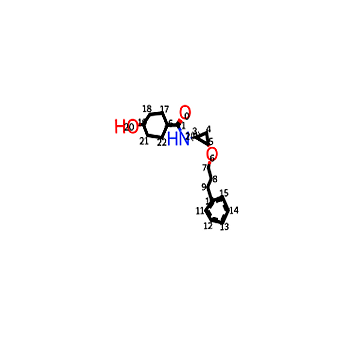 O=C(N[C@@H]1CC1OCCCc1ccccc1)C1CCC(O)CC1